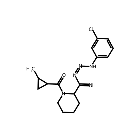 CC1CC1C(=O)N1CCCCC1C(=N)/N=N\Nc1cccc(Cl)c1